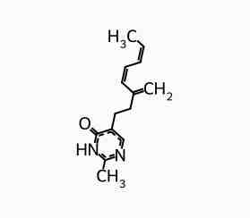 C=C(/C=C\C=C/C)CCc1cnc(C)[nH]c1=O